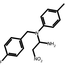 Cc1ccc(N(Cc2ccc(F)cc2)C(N)C[N+](=O)[O-])cc1